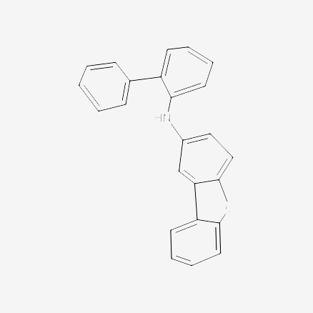 c1ccc(-c2ccccc2Nc2ccc3oc4ccccc4c3c2)cc1